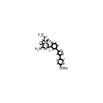 COc1cnc(-c2cc(-c3ccc(F)c([C@]4(C)CS(=O)(=NCC(F)(F)F)C(C)(C)C(N)=N4)c3)on2)cn1